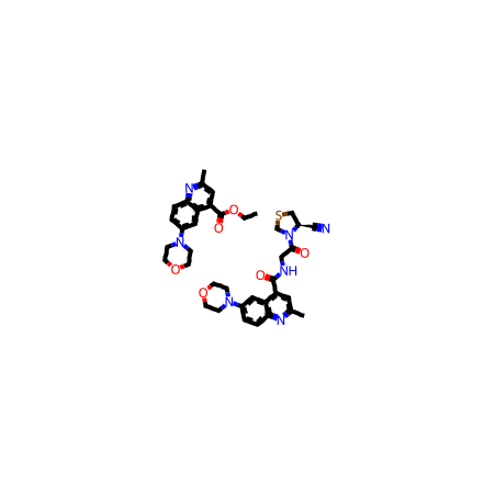 CCOC(=O)c1cc(C)nc2ccc(N3CCOCC3)cc12.Cc1cc(C(=O)NCC(=O)N2CSC[C@H]2C#N)c2cc(N3CCOCC3)ccc2n1